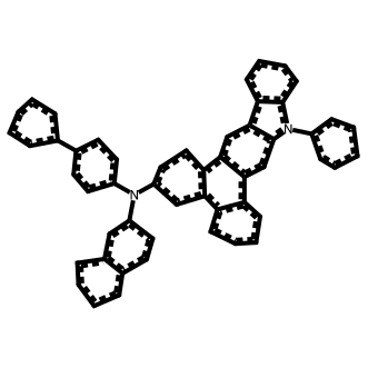 c1ccc(-c2ccc(N(c3ccc4ccccc4c3)c3ccc4c(c3)c3ccccc3c3cc5c(cc43)c3ccccc3n5-c3ccccc3)cc2)cc1